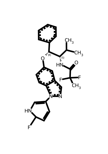 CC(C)[C@H](NC(=O)C(C)(F)F)[C@H](Oc1ccc2c(cnn2C2=CNC(F)C=C2)c1)c1ccccc1